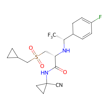 N#CC1(NC(=O)[C@H](CS(=O)(=O)CC2CC2)N[C@@H](C2C=CC(F)=CC2)C(F)(F)F)CC1